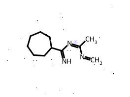 C=N/C(C)=N\C(=N)C1CCCCCC1